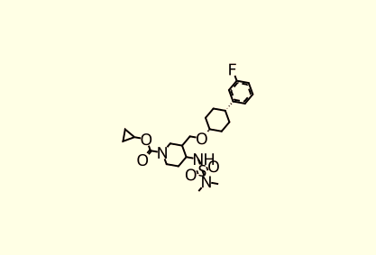 CN(C)S(=O)(=O)NC1CCN(C(=O)OC2CC2)CC1CO[C@H]1CC[C@@H](c2cccc(F)c2)CC1